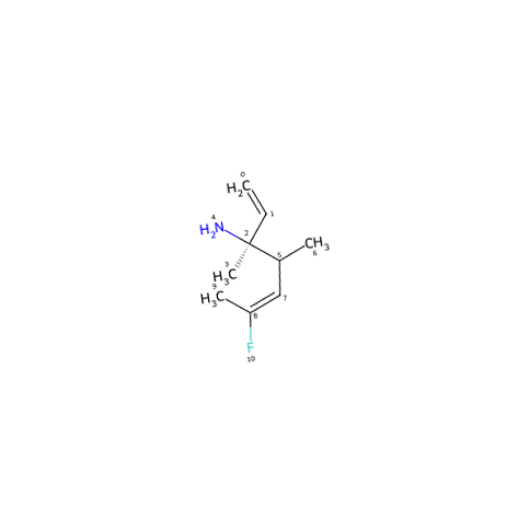 C=C[C@](C)(N)C(C)/C=C(\C)F